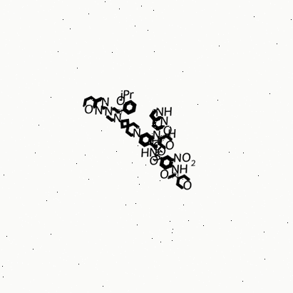 CC(C)Oc1ccccc1[C@@H]1CN(c2ncc3c(n2)OCCC3)CCN1C1CC2(CCN(c3ccc(C(=O)NS(=O)(=O)c4cc5c(c([N+](=O)[O-])c4)N[C@H](C4CCOCC4)CO5)c(N4c5cc6cc[nH]c6nc5O[C@H]5COCC[C@@H]54)c3)CC2)C1